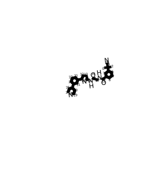 CC(C)(C#N)c1cccc(C(=O)NCC(=O)NC2=NC(c3cccc(-c4ccncc4)c3)=CC2)c1